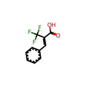 O=C(O)/C(=C/c1ccccc1)C(F)(F)F